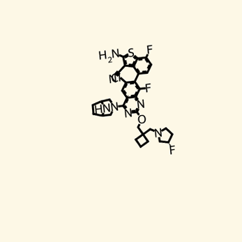 N#Cc1c(N)sc2c(F)ccc(-c3c(Cl)cc4c(N5CC6CCC(C5)N6)nc(OCC5(CN6CC[C@H](F)C6)CCC5)nc4c3F)c12